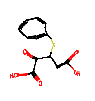 O=C(O)CC(Sc1ccccc1)C(=O)C(=O)O